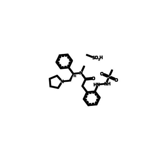 CN(C(=O)Cc1ccccc1NNS(C)(=O)=O)[C@@H](CN1CCCC1)c1ccccc1.CS(=O)(=O)O